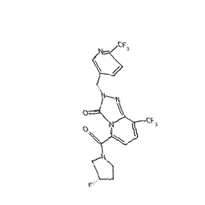 O=C(c1ccc(C(F)(F)F)c2nn(Cc3ccc(C(F)(F)F)nc3)c(=O)n12)N1CC[C@H](F)C1